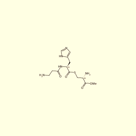 COC(=O)[C@@H](N)CSC(=O)[C@H](Cc1cnc[nH]1)NC(=O)CCN